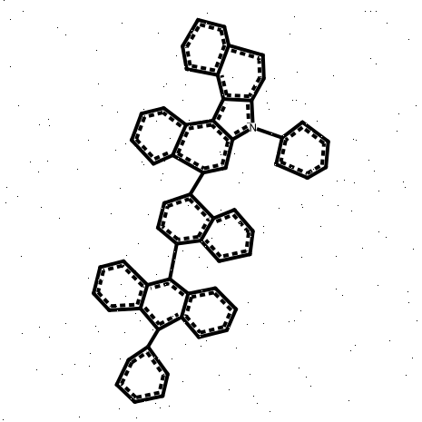 c1ccc(-c2c3ccccc3c(-c3ccc(-c4cc5c(c6ccccc46)c4c6ccccc6ccc4n5-c4ccccc4)c4ccccc34)c3ccccc23)cc1